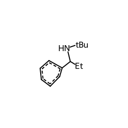 CCC(NC(C)(C)C)c1ccccc1